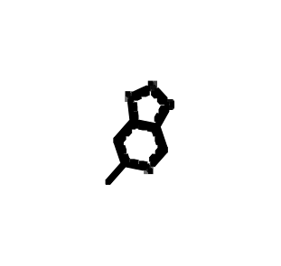 Cc1cc2nnoc2cn1